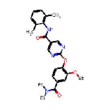 CCOc1cc(C(=O)N(CC)CC)ccc1Oc1ncc(C(=O)Nc2c(C)cccc2C)cn1